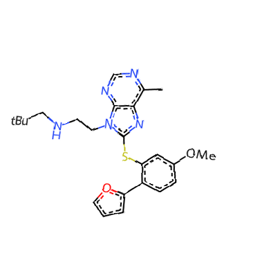 COc1ccc(-c2ccco2)c(Sc2nc3c(C)ncnc3n2CCNCC(C)(C)C)c1